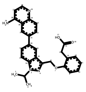 CC(C)n1nc(COc2ccccc2CC(=O)O)c2cc(-c3ccc4nccc(N)c4c3)ccc21